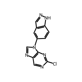 Clc1ncc2ncn(-c3ccc4[nH]ncc4c3)c2n1